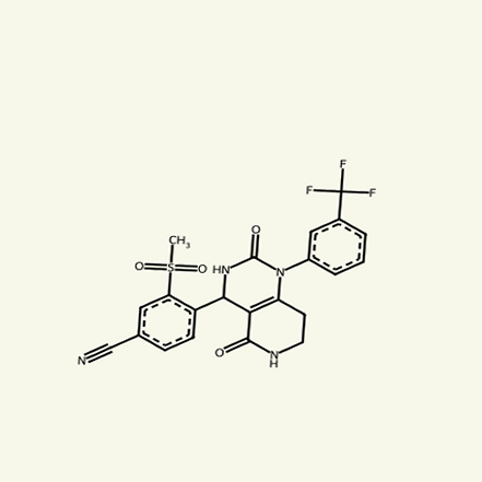 CS(=O)(=O)c1cc(C#N)ccc1C1NC(=O)N(c2cccc(C(F)(F)F)c2)C2=C1C(=O)NCC2